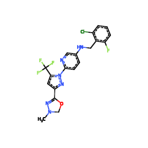 CN1COC(c2cc(C(F)(F)F)n(-c3ccc(NCc4c(F)cccc4Cl)cn3)n2)=N1